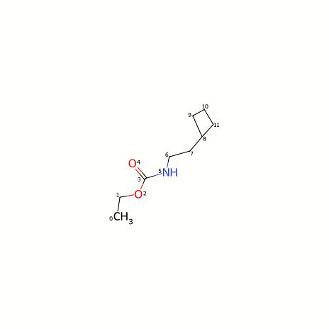 CCOC(=O)NCCC1CCC1